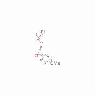 CCOC(C)OCC#CC(=O)c1ccc(OC)cc1